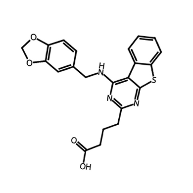 O=C(O)CCCc1nc(NCc2ccc3c(c2)OCO3)c2c(n1)sc1ccccc12